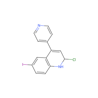 ClC1C=C(c2ccncc2)c2cc(I)ccc2N1